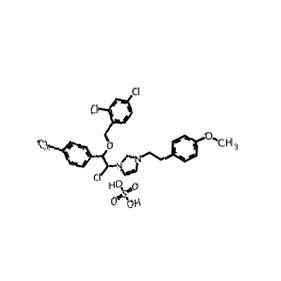 COc1ccc(CCN2C=CN(C(Cl)C(OCc3ccc(Cl)cc3Cl)c3ccc(Cl)cc3)C2)cc1.O=S(=O)(O)O